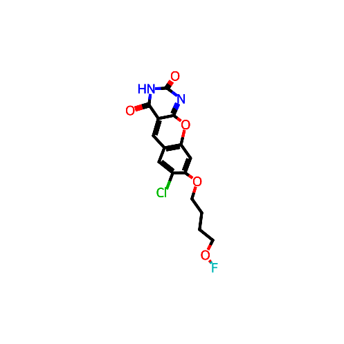 O=c1nc2oc3cc(OCCCCOF)c(Cl)cc3cc-2c(=O)[nH]1